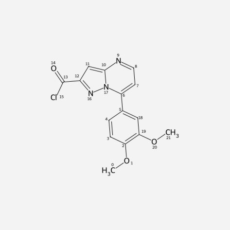 COc1ccc(-c2ccnc3cc(C(=O)Cl)nn23)cc1OC